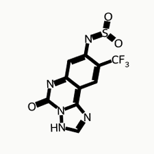 O=c1nc2cc(N=S(=O)=O)c(C(F)(F)F)cc2c2nc[nH]n12